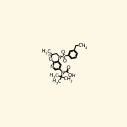 CCc1cccc(S(=O)(=O)N2C[C@H](C)Oc3ncc(N(C(=O)O)C(C)(C)C)cc32)c1